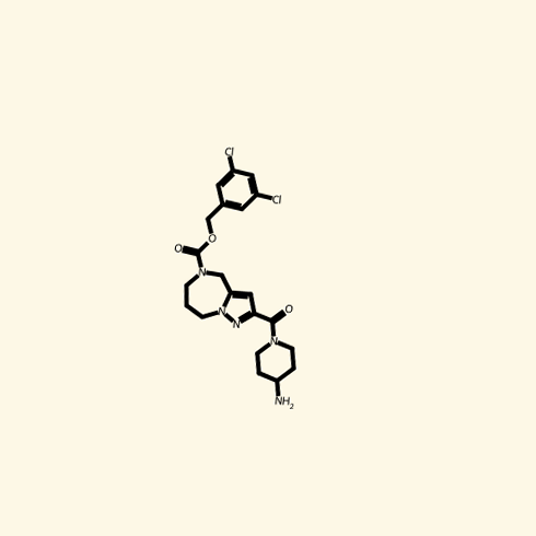 NC1CCN(C(=O)c2cc3n(n2)CCCN(C(=O)OCc2cc(Cl)cc(Cl)c2)C3)CC1